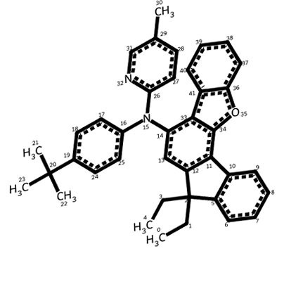 CCC1(CC)c2ccccc2-c2c1cc(N(c1ccc(C(C)(C)C)cc1)c1ccc(C)cn1)c1c2oc2ccccc21